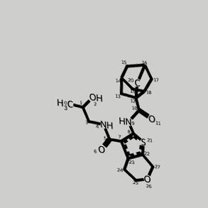 CC(O)CNC(=O)c1c(NC(=O)C23CC4CC(CC2C4)C3)sc2c1CCOC2